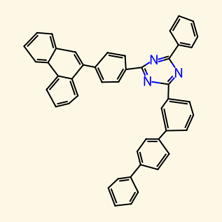 c1ccc(-c2ccc(-c3cccc(-c4nc(-c5ccccc5)nc(-c5ccc(-c6cc7ccccc7c7ccccc67)cc5)n4)c3)cc2)cc1